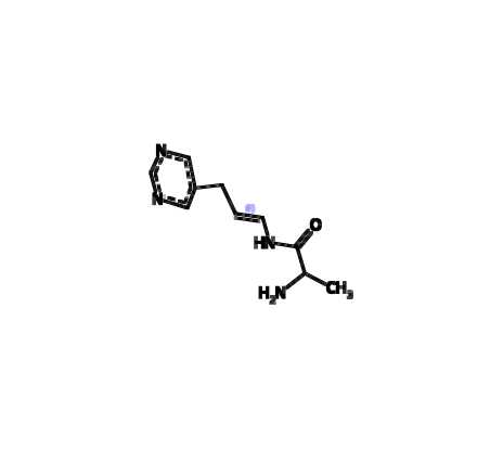 CC(N)C(=O)N/C=C/Cc1cncnc1